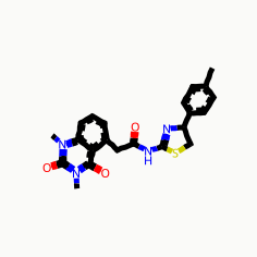 Cc1ccc(C2CSC(NC(=O)Cc3cccc4c3c(=O)n(C)c(=O)n4C)=N2)cc1